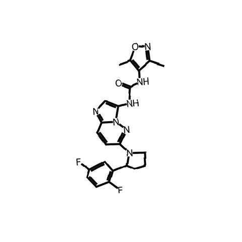 Cc1noc(C)c1NC(=O)Nc1cnc2ccc(N3CCCC3c3cc(F)ccc3F)nn12